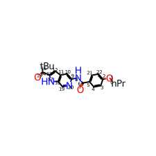 CCCOc1ccc(C(=O)Nc2cc3cc(C(=O)C(C)(C)C)[nH]c3cn2)cc1